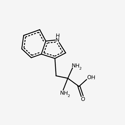 NC(N)(Cc1c[nH]c2ccccc12)C(=O)O